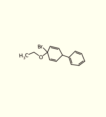 CCOC1(Br)C=CC(c2ccccc2)C=C1